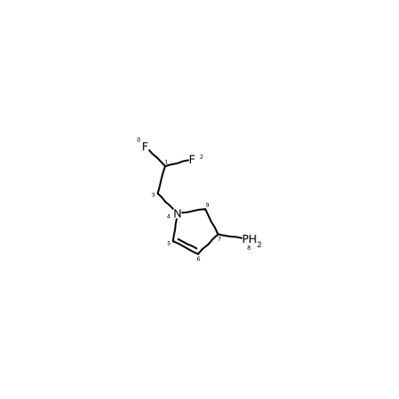 FC(F)CN1C=CC(P)C1